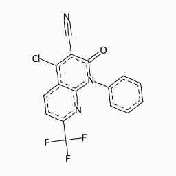 N#Cc1c(Cl)c2ccc(C(F)(F)F)nc2n(-c2ccccc2)c1=O